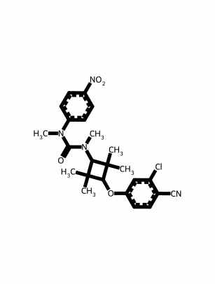 CN(C(=O)N(C)C1C(C)(C)C(Oc2ccc(C#N)c(Cl)c2)C1(C)C)c1ccc([N+](=O)[O-])cc1